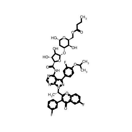 CCCC(=O)OC[C@@H]1O[C@@H](O)C[C@@H](O[C@@H]2O[C@@H](C(=O)Nc3ncnc4c3c(-c3ccc(OC(C)C)c(F)c3)nn4[C@@H](C)c3oc4ccc(F)cc4c(=O)c3-c3cccc(F)c3)[C@H](O)C2O)[C@@H]1O